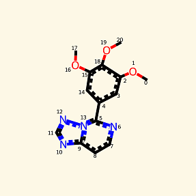 COc1cc(-c2nccc3ncnn23)cc(OC)c1OC